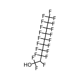 OC(F)(F)C(F)C(F)(F)C(F)(F)C(F)(F)C(F)(F)C(F)(F)C(F)(F)C(F)(F)C(F)(F)F